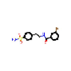 NS(=O)(=O)c1ccc(CCNC(=O)c2cccc(Br)c2)cc1